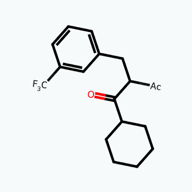 CC(=O)C(Cc1cccc(C(F)(F)F)c1)C(=O)C1CCCCC1